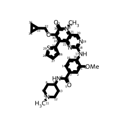 COc1cc(C(=O)NC2CCN(C)CC2)ccc1Nc1ncc2c(n1)c(-c1cccs1)c(OCC1CC1)c(=O)n2C